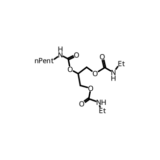 CCCCCNC(=O)OC(COC(=O)NCC)COC(=O)NCC